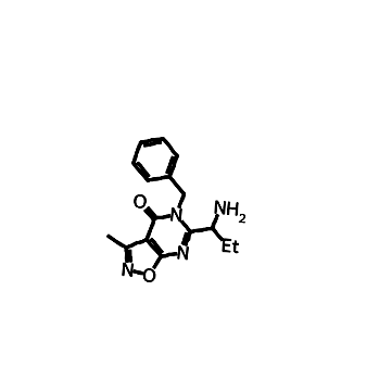 CCC(N)c1nc2onc(C)c2c(=O)n1Cc1ccccc1